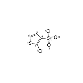 O=S(=O)(Cl)c1ccsc1Cl